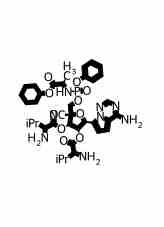 CC(C)C(N)C(=O)O[C@H]1[C@H](c2ccc3c(N)ncnn23)O[C@@](C#N)(CO[P@@](=O)(N[C@@H](C)C(=O)OC2CCCCC2)Oc2ccccc2)[C@H]1OC(=O)C(N)C(C)C